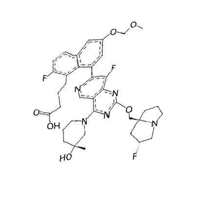 COCOc1cc(-c2ncc3c(N4CCC[C@@](C)(O)C4)nc(OC[C@@]45CCCN4C[C@H](F)C5)nc3c2F)c2c(CCCC(=O)O)c(F)ccc2c1